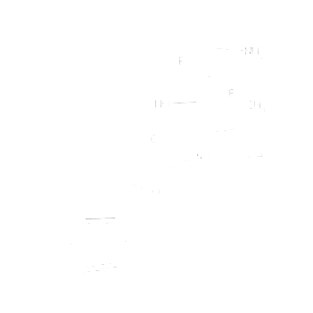 CC(C)C(NC(=O)OCc1ccccc1)C(O)C(F)(F)CN